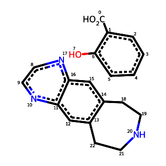 O=C(O)c1ccccc1O.c1cnc2cc3c(cc2n1)CCNCC3